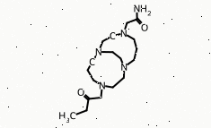 CCC(=O)CN1CCCN2CCN(CCCN(CC(N)=O)CC2)CC1